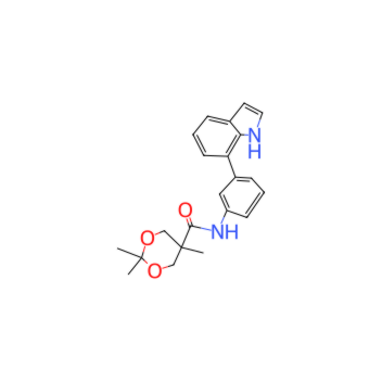 CC1(C)OCC(C)(C(=O)Nc2cccc(-c3cccc4cc[nH]c34)c2)CO1